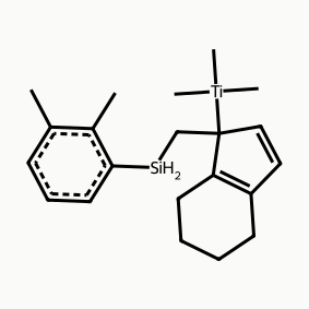 Cc1cccc([SiH2]C[C]2([Ti]([CH3])([CH3])[CH3])C=CC3=C2CCCC3)c1C